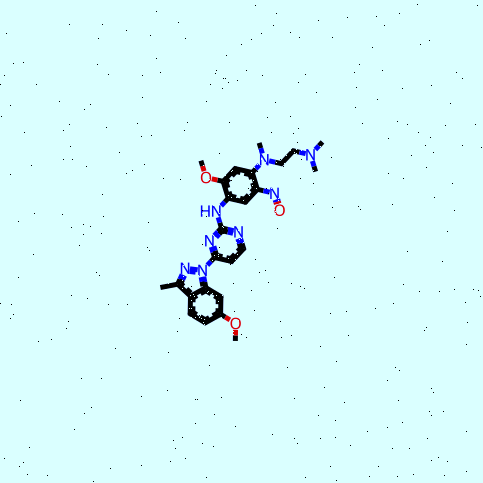 COc1ccc2c(C)nn(-c3ccnc(Nc4cc(N=O)c(N(C)CCN(C)C)cc4OC)n3)c2c1